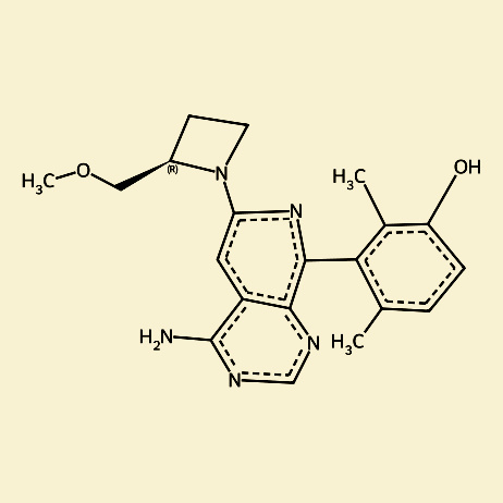 COC[C@H]1CCN1c1cc2c(N)ncnc2c(-c2c(C)ccc(O)c2C)n1